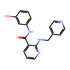 O=C(Nc1cccc(O)c1)c1cccnc1NCc1ccncc1